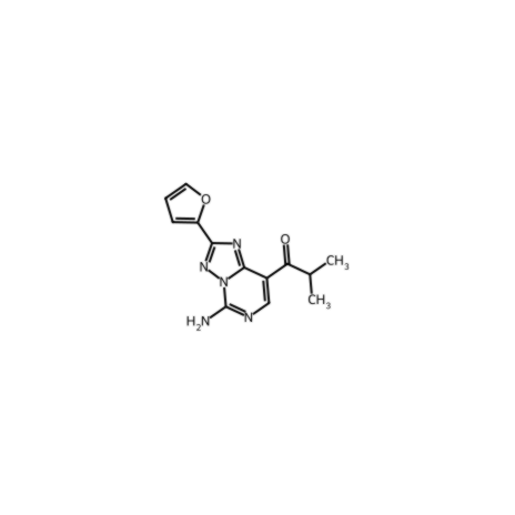 CC(C)C(=O)c1cnc(N)n2nc(-c3ccco3)nc12